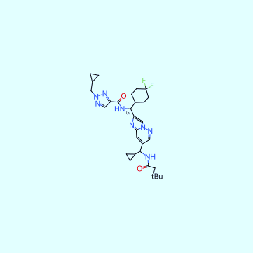 CC(C)(C)CC(=O)NC(c1cnn2cc([C@@H](NC(=O)c3cnn(CC4CC4)n3)C3CCC(F)(F)CC3)nc2c1)C1CC1